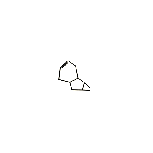 C1=CCC2C(C1)CC1OC12